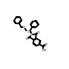 O=C(O)c1ccc2c(c1)C(=O)N([C@H](COCc1ccccc1)c1ccccc1)C2=O